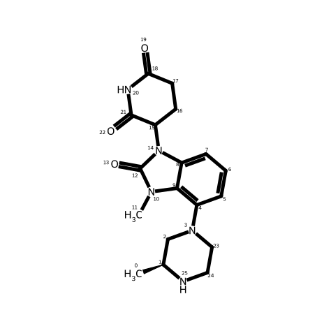 C[C@H]1CN(c2cccc3c2n(C)c(=O)n3C2CCC(=O)NC2=O)CCN1